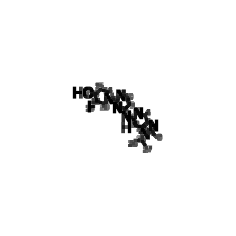 Cc1nc2cnc(Nc3ccnc(N4CCC(O)C(F)C4)n3)cc2n1C(C)C